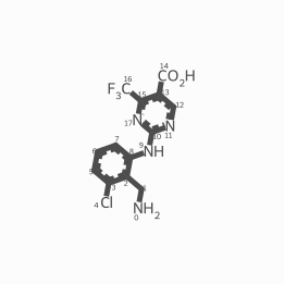 NCc1c(Cl)cccc1Nc1ncc(C(=O)O)c(C(F)(F)F)n1